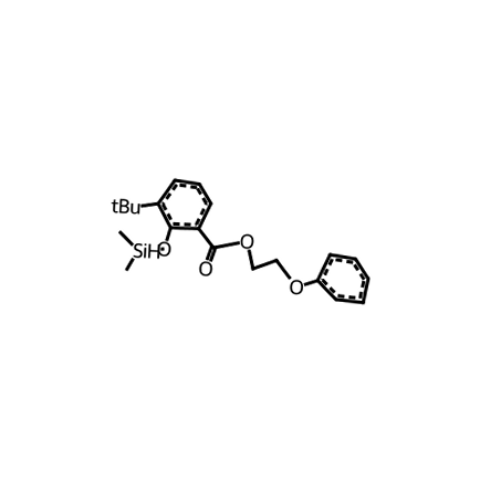 C[SiH](C)Oc1c(C(=O)OCCOc2ccccc2)cccc1C(C)(C)C